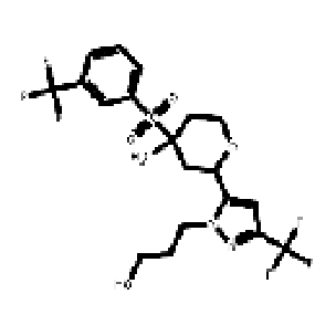 CC1(S(=O)(=O)c2cccc(C(F)(F)F)c2)CCOC(c2cc(C(F)(F)F)nn2CCCO)C1